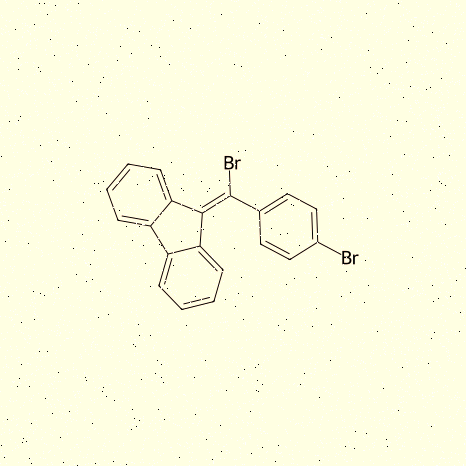 BrC(=C1c2ccccc2-c2ccccc21)c1ccc(Br)cc1